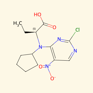 CC[C@@H](C(=O)O)N(c1nc(Cl)ncc1[N+](=O)[O-])C1CCCC1